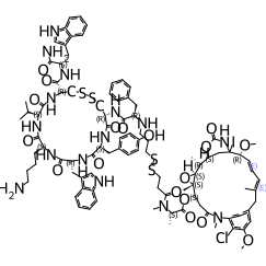 COc1cc2cc(c1Cl)N(C)C(=O)C[C@H](OC(=O)[C@H](C)N(C)C(=O)CCSSCCCN[C@H](Cc1ccccc1)C(=O)N[C@H]1CSSC[C@@H](C(=O)N[C@@H](Cc3c[nH]c4ccccc34)C(N)=O)NC(=O)[C@H](C(C)C)NC(=O)[C@H](CCCCN)NC(=O)[C@@H](Cc3c[nH]c4ccccc34)NC(=O)[C@H](Cc3ccc(O)cc3)NC1=O)[C@]1(C)O[C@H]1[C@H](C)[C@@H]1CC(I)(NC(=O)O1)[C@H](OC)/C=C/C=C(\C)C2